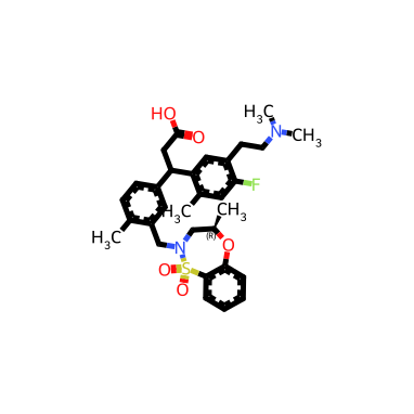 Cc1ccc(C(CC(=O)O)c2cc(CCN(C)C)c(F)cc2C)cc1CN1C[C@@H](C)Oc2ccccc2S1(=O)=O